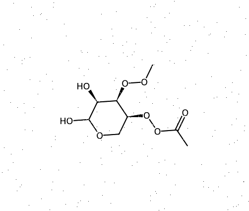 COO[C@H]1[C@@H](OOC(C)=O)COC(O)[C@H]1O